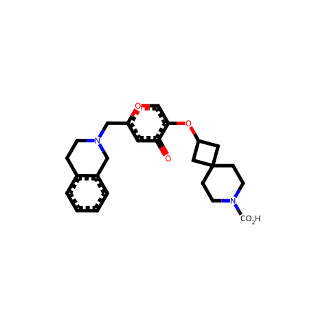 O=C(O)N1CCC2(CC1)CC(Oc1coc(CN3CCc4ccccc4C3)cc1=O)C2